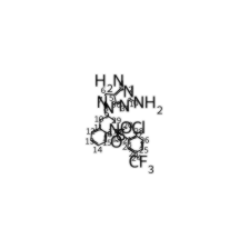 Nc1nc(N)c2cnn(C3Cc4ccccc4N(S(=O)(=O)c4cc(C(F)(F)F)ccc4Cl)C3)c2n1